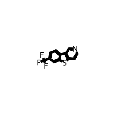 FC(F)(F)c1ccc2c(c1)sc1ccncc12